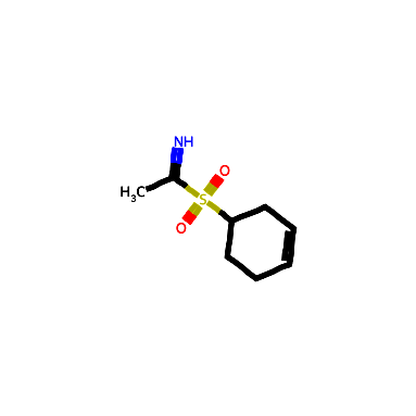 CC(=N)S(=O)(=O)C1CC=CCC1